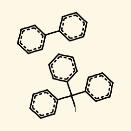 IC(c1ccccc1)(c1ccccc1)c1ccccc1.c1ccc(-c2ccccc2)cc1